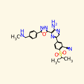 CNCc1ccc(-c2nnc(-c3nc(-c4ccc(S(=O)(=O)C(C)C)c(C#N)c4)cnc3N)o2)cc1